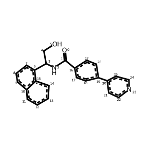 O=C(NC(CO)c1cccc2ccccc12)c1ccc(-c2ccncc2)cc1